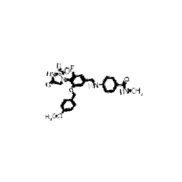 CNC(=O)[C@H]1CC[C@H](NCc2cc(F)c(N3CC(=O)NS3(=O)=O)c(OCc3ccc(OC)cc3)c2)CC1